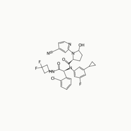 N#Cc1ccnc(N2C(O)CC[C@H]2C(=O)N(c2cc(F)cc(C3CC3)c2)[C@H](C(=O)NC2CC(F)(F)C2)c2ccccc2Cl)c1